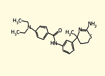 CCN(CC)c1ccc(C(=O)Nc2cccc(C3(C)CCSC(N)=N3)c2)cc1